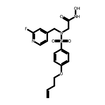 C=CCCOc1ccc(S(=O)(=O)N(CC(=O)NO)Cc2ccnc(F)c2)cc1